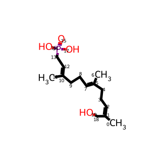 CC(=CCCC(C)=CCCC(C)=CCP(=O)(O)O)CO